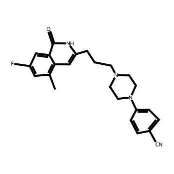 Cc1cc(F)cc2c(=O)[nH]c(CCCN3CCN(c4ccc(C#N)cc4)CC3)cc12